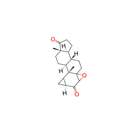 C[C@]12CC[C@H]3[C@@H](CCC45OC4C(=O)[C@H]4CC4[C@]35C)[C@@H]1CCC2=O